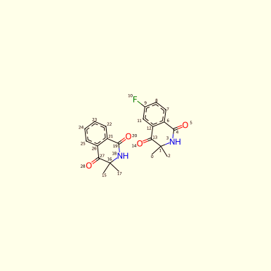 CC1(C)NC(=O)c2ccc(F)cc2C1=O.CC1(C)NC(=O)c2ccccc2C1=O